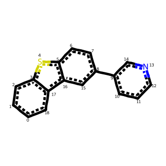 [c]1ccc2sc3ccc(-c4cccnc4)cc3c2c1